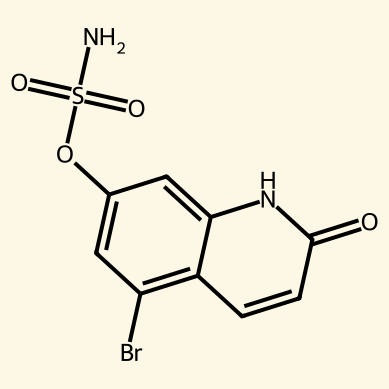 NS(=O)(=O)Oc1cc(Br)c2ccc(=O)[nH]c2c1